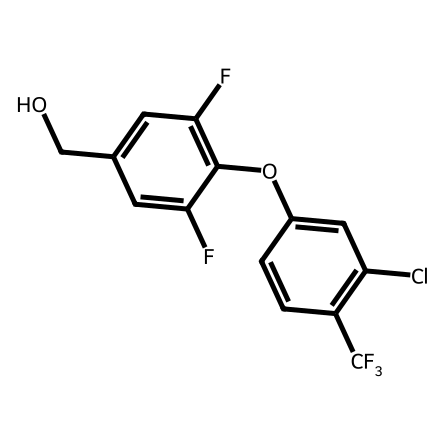 OCc1cc(F)c(Oc2ccc(C(F)(F)F)c(Cl)c2)c(F)c1